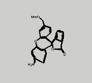 COc1ccc2c(c1)Oc1cc(N)ccc1C21OC(=O)c2ccccc21